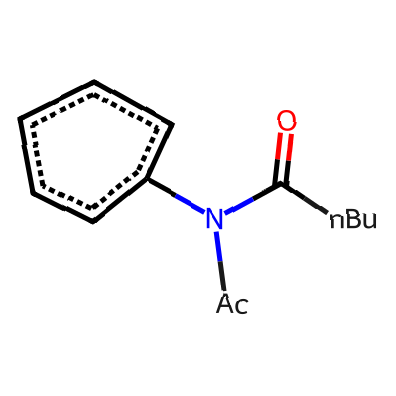 CCCCC(=O)N(C(C)=O)c1ccccc1